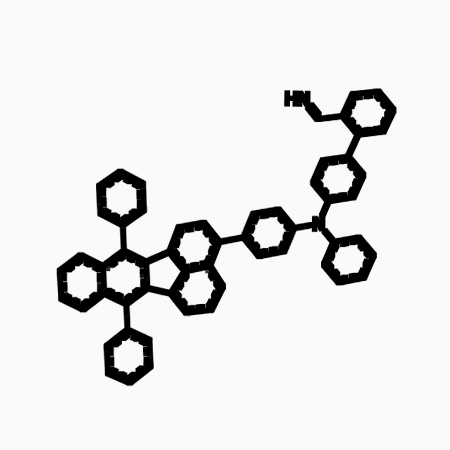 N=Cc1ccccc1-c1ccc(N(c2ccccc2)c2ccc(-c3ccc4c5c(cccc35)-c3c-4c(-c4ccccc4)c4ccccc4c3-c3ccccc3)cc2)cc1